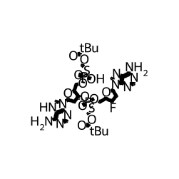 CC(C)(C)C(=O)OCSP(=O)(O)OCC1OC(N2CNc3c(N)ncnc32)C[C@@H]1OP(=O)(OCC1OC(n2cnc3c(N)ncnc32)CC1F)SCOC(=O)C(C)(C)C